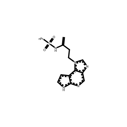 C=C(CCn1cnc2cnc3[nH]ccc3c21)NS(=O)(=O)CCC